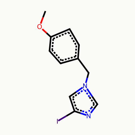 COc1ccc(Cn2cnc(I)c2)cc1